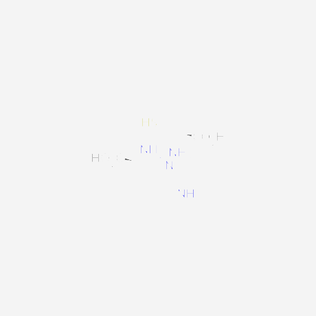 N[C@@H](CS)C(=O)O.N[C@@H](Cc1c[nH]cn1)C(=O)O